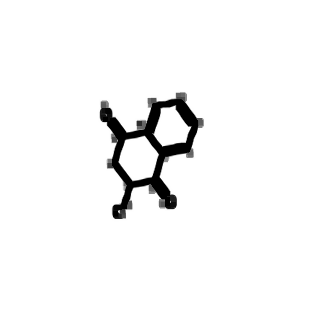 O=C1CC(Cl)C(=O)c2ccccc21